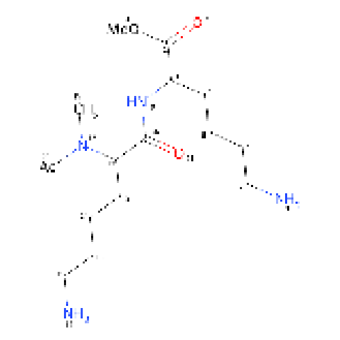 COC(=O)C(CCCCN)NC(=O)C(CCCCN)N(C)C(C)=O